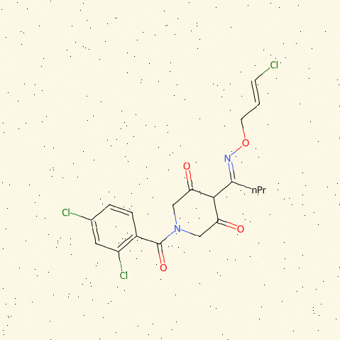 CCCC(=NOCC=CCl)C1C(=O)CN(C(=O)c2ccc(Cl)cc2Cl)CC1=O